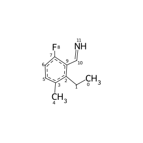 CCc1c(C)ccc(F)c1C=N